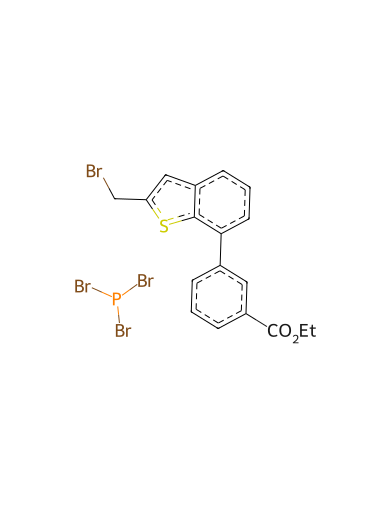 BrP(Br)Br.CCOC(=O)c1cccc(-c2cccc3cc(CBr)sc23)c1